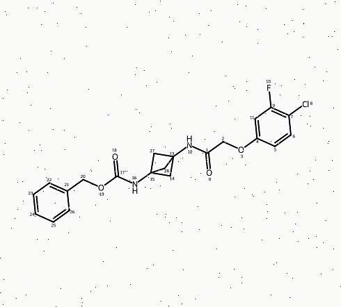 O=C(COc1ccc(Cl)c(F)c1)NC12CC(NC(=O)OCc3ccccc3)(C1)C2